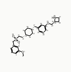 COc1cccc(CS(=O)(=O)CC[C@H]2CC[C@@H](Cc3cncc(OC[C@@H]4CCN4)c3)CC2)c1